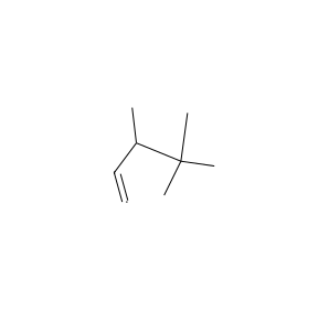 [CH]=CC(C)C(C)(C)C